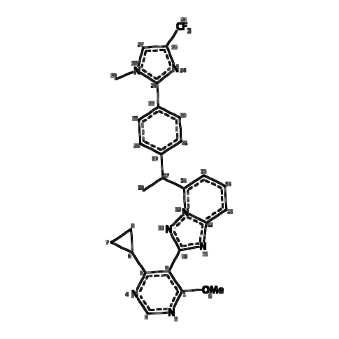 COc1ncnc(C2CC2)c1-c1nc2cccc(C(C)c3ccc(-c4nc(C(F)(F)F)cn4C)cc3)n2n1